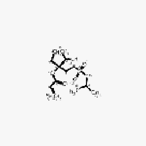 C=CC(=O)OC(CC)(CCS(=O)(=O)OC(C)C)C(C)C.N